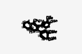 COc1ccc(C2=C(C#N)N3CCCC[C@@H]3C[C@@H]2c2ccc(OC)c(OC)c2)cc1OC